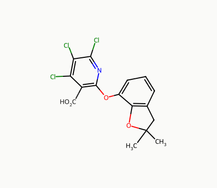 CC1(C)Cc2cccc(Oc3nc(Cl)c(Cl)c(Cl)c3C(=O)O)c2O1